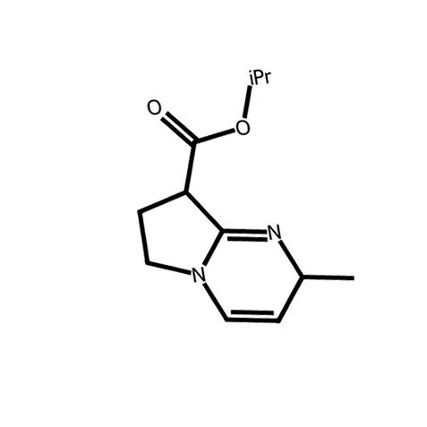 CC1C=CN2CCC(C(=O)OC(C)C)C2=N1